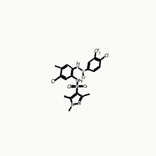 Cc1cc(N[S+]([O-])c2ccc(Cl)c(C(F)(F)F)c2)c(NS(=O)(=O)c2c(C)nn(C)c2C)cc1Cl